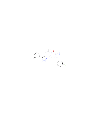 CCC1Cc2c(nn(C)c2-c2cccc(Cl)c2)C(CC)N1C(=O)c1ncn(-c2cccc(F)c2)n1